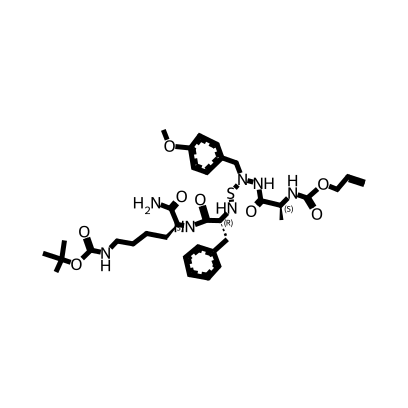 C=CCOC(=O)N[C@@H](C)C(=O)NN(Cc1ccc(OC)cc1)SN[C@H](Cc1ccccc1)C(=O)N[C@@H](CCCCNC(=O)OC(C)(C)C)C(N)=O